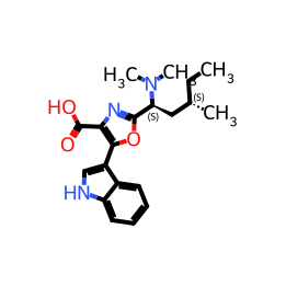 CC[C@H](C)C[C@@H](c1nc(C(=O)O)c(-c2c[nH]c3ccccc23)o1)N(C)C